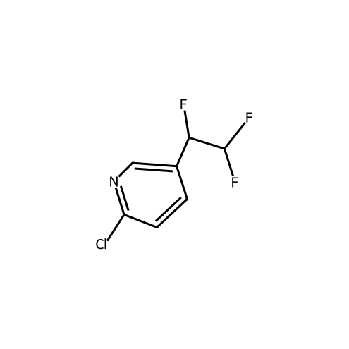 FC(F)C(F)c1ccc(Cl)nc1